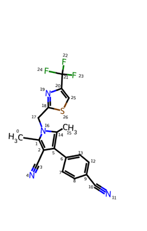 Cc1c(C#N)c(-c2ccc(C#N)cc2)c(C)n1Cc1nc(C(F)(F)F)cs1